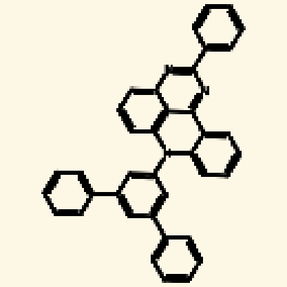 c1ccc(-c2cc(-c3ccccc3)cc(N3c4ccccc4-c4nc(-c5ccccc5)nc5cccc3c45)c2)cc1